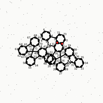 c1ccc(-c2ccccc2N(c2cccc3c2-c2ccccc2C32c3ccccc3-n3c4ccccc4c4cccc2c43)c2cc3c(c4ccccc24)-c2ccccc2C32c3ccccc3-c3ccccc32)cc1